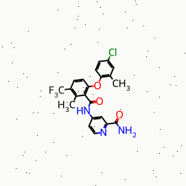 Cc1cc(Cl)ccc1Oc1ccc(C(F)(F)F)c(C)c1C(=O)Nc1ccnc(C(N)=O)c1